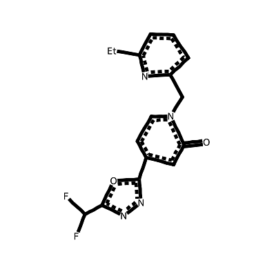 CCc1cccc(Cn2ccc(-c3nnc(C(F)F)o3)cc2=O)n1